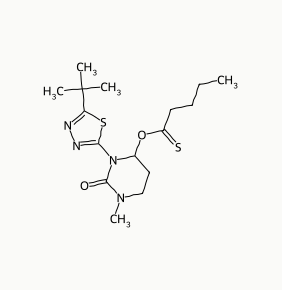 CCCCC(=S)OC1CCN(C)C(=O)N1c1nnc(C(C)(C)C)s1